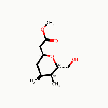 C=C1C[C@@H](CC(=O)OC)O[C@H](CO)[C@H]1C